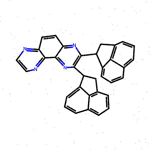 c1cc2c3c(cccc3c1)C(c1nc3ccc4nccnc4c3nc1C1Cc3cccc4cccc1c34)C2